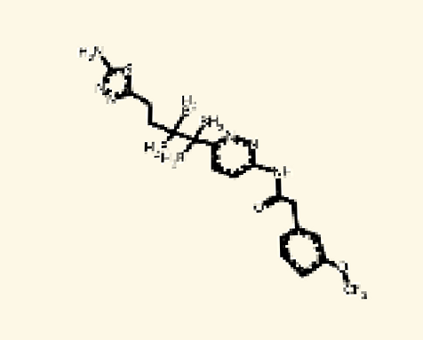 BC(B)(CCc1nnc(N)s1)C(B)(B)c1ccc(NC(=O)Cc2cccc(OC(F)(F)F)c2)nn1